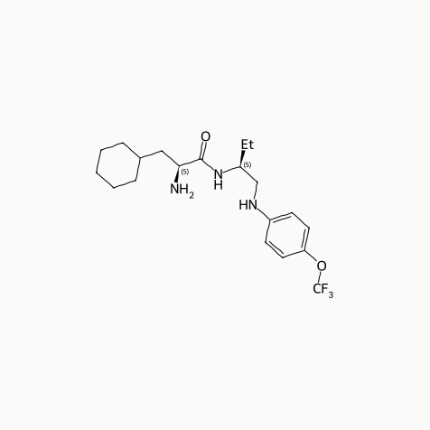 CC[C@@H](CNc1ccc(OC(F)(F)F)cc1)NC(=O)[C@@H](N)CC1CCCCC1